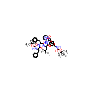 CC(C)CC(NC(=O)C(Cc1ccccc1)NC(=O)C(Cc1ccccc1)NC(=O)OC(C)(C)C)C(=O)NC(CCCCNC(=O)OC(C)(C)C)C(=O)N1C2CC1CN(Cc1ccccc1)C2